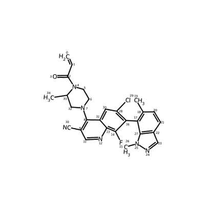 C=CC(=O)N1CCN(c2c(C#N)cnc3c(F)c(-c4c(C)ccc5cnn(C)c45)c(Cl)cc23)CC1C